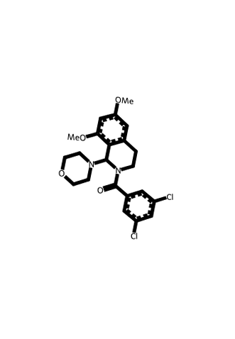 COc1cc2c(c(OC)c1)C(N1CCOCC1)N(C(=O)c1cc(Cl)cc(Cl)c1)CC2